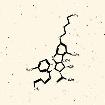 C=C(/C=C\C=C/C)[C@H]1[C@H](C(=O)OC)[C@H](O)[C@]2(O)c3c(OC)cc(OCCCCN)cc3O[C@]12c1ccc(OC)cc1